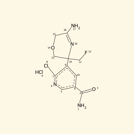 Cl.NC(=O)c1cnc(Cl)c(C2(CF)COCC(N)=N2)c1